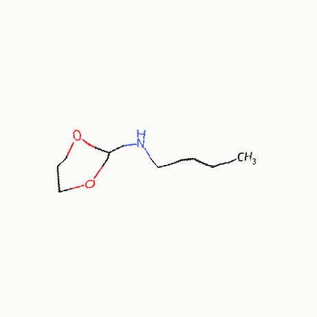 CCCCNC1OCCO1